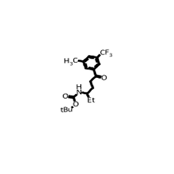 CCC(CCC(=O)c1cc(C)cc(C(F)(F)F)c1)NC(=O)OC(C)(C)C